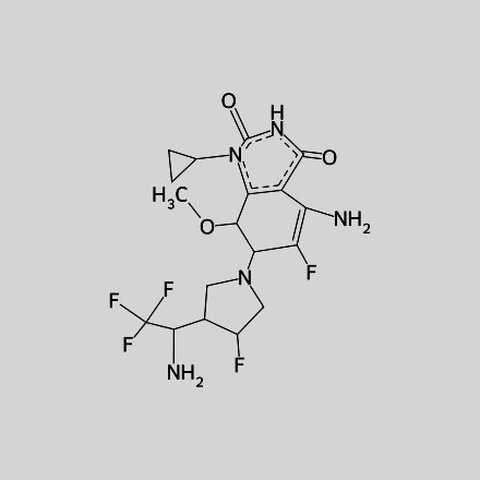 COC1c2c(c(=O)[nH]c(=O)n2C2CC2)C(N)=C(F)C1N1CC(F)C(C(N)C(F)(F)F)C1